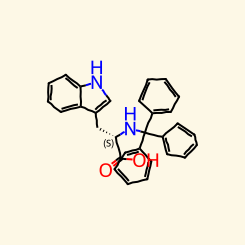 O=C(O)[C@H](Cc1c[nH]c2ccccc12)NC(c1ccccc1)(c1ccccc1)c1ccccc1